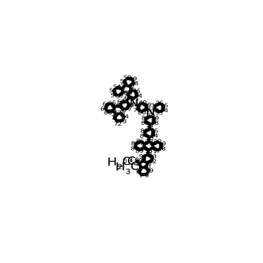 C=C=CC1(C)c2ccccc2-c2ccc(-c3c4ccccc4c(-c4ccc(-c5ccc(N(c6ccccc6)c6ccc(-n7c8ccc(-c9ccccc9-c9ccccc9)cc8c8cc(-c9ccccc9-c9ccccc9)ccc87)cc6)cc5)cc4)c4ccccc34)cc21